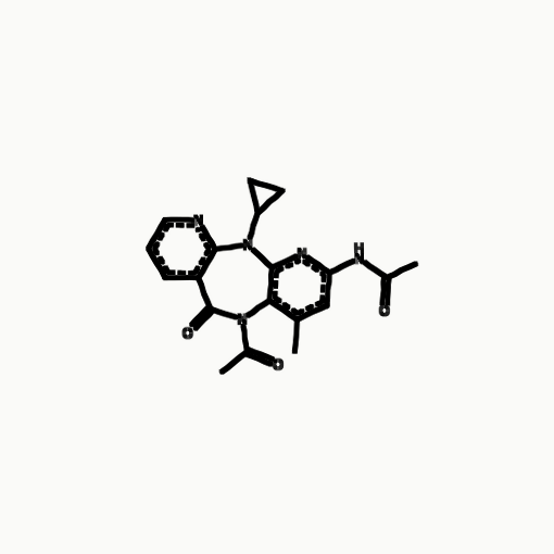 CC(=O)Nc1cc(C)c2c(n1)N(C1CC1)c1ncccc1C(=O)N2C(C)=O